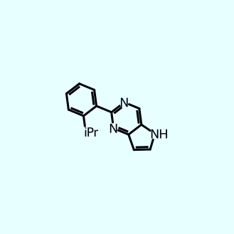 CC(C)c1ccccc1-c1ncc2[nH]ccc2n1